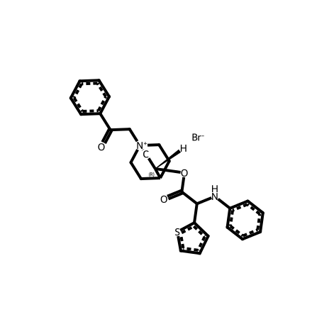 O=C(C[N+]12CCC(CC1)[C@@H](OC(=O)C(Nc1ccccc1)c1cccs1)C2)c1ccccc1.[Br-]